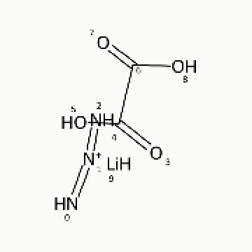 N=[N+]=N.O=C(O)C(=O)O.[LiH]